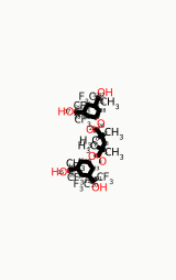 CC(C)(CC(C)(C)C(=O)OC1CC(C(C)(O)C(F)(F)F)CC(C(O)(C(F)(F)F)C(F)(F)F)C1)C(=O)OC1CC(C(C)(O)C(F)(F)F)CC(C(O)(C(F)(F)F)C(F)(F)F)C1